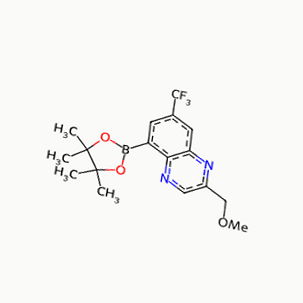 COCc1cnc2c(B3OC(C)(C)C(C)(C)O3)cc(C(F)(F)F)cc2n1